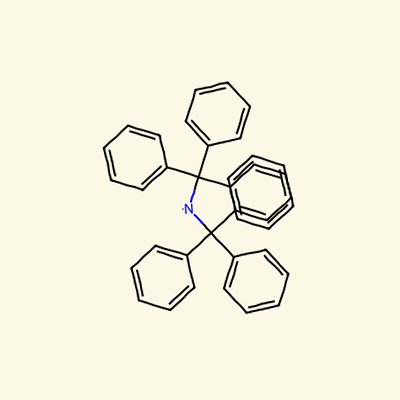 c1ccc(C([N]C(c2ccccc2)(c2ccccc2)c2ccccc2)(c2ccccc2)c2ccccc2)cc1